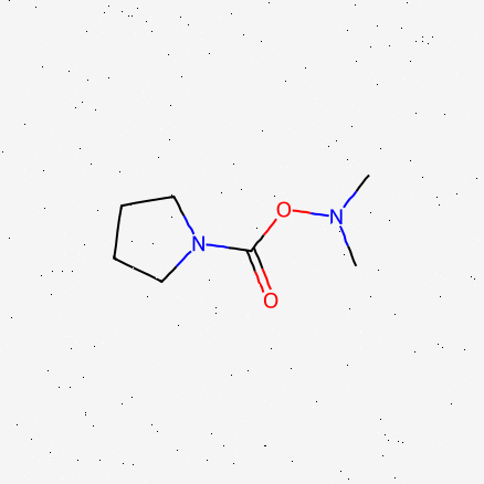 CN(C)OC(=O)N1CCCC1